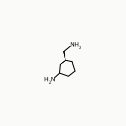 NC[C@H]1CCCC(N)C1